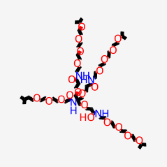 CC(C)CCOCCOCCOCC(=O)NC(COCCC(=O)NCCOCCOCCOCCOC(C)C)(COCCC(=O)NCCOCCOCCOCCOC(C)C)COCCC(O)NCCOCCOCCOCCOC(C)C